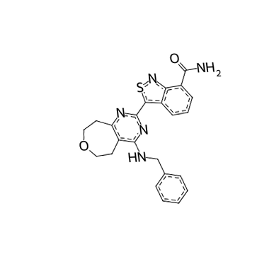 NC(=O)c1cccc2c(-c3nc4c(c(NCc5ccccc5)n3)CCOCC4)snc12